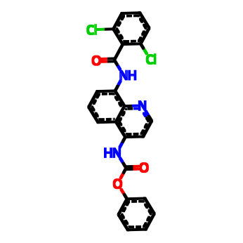 O=C(Nc1ccnc2c(NC(=O)c3c(Cl)cccc3Cl)cccc12)Oc1ccccc1